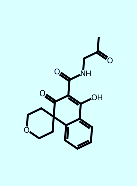 CC(=O)CNC(=O)C1=C(O)c2ccccc2C2(CCOCC2)C1=O